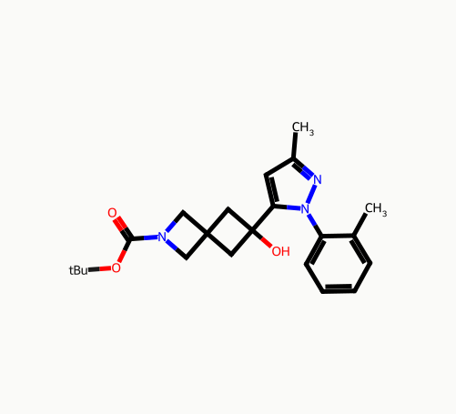 Cc1cc(C2(O)CC3(CN(C(=O)OC(C)(C)C)C3)C2)n(-c2ccccc2C)n1